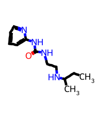 CCC(C)NCCNC(=O)Nc1ccccn1